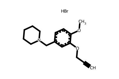 Br.C#CCOc1cc(CN2CCCCC2)ccc1OC